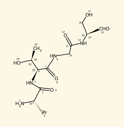 CC(C)[C@H](N)C(=O)N[C@H](C(=O)NCC(=O)N[C@H]([C]=O)CO)[C@H](C)O